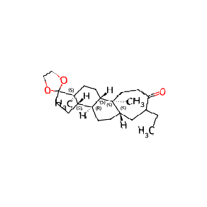 CCC1C[C@@H]2CC[C@@H]3[C@H](CC[C@@]4(C)[C@H]3CCC43OCCO3)[C@@]2(C)CCC1=O